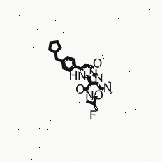 CN(C)C(=O)c1nn2c(=O)cc(-c3ccc(CC4CCCC4)cc3)[nH]c2c1C(=O)N1CC(CF)C1